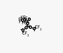 Cc1cc(-c2ccc(N(c3ccc(-c4cc(C)cc(C(F)(F)F)c4)cc3)c3ccc(N(c4ccccc4)c4c(F)c(F)c5c(F)c(F)c(F)c(F)c5c4F)cc3)cc2)cc(C(F)(F)F)c1